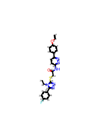 C=COc1ccc(-c2ccc(NC(=O)CSc3nnc(-c4ccc(F)cc4)n3CC)nn2)cc1